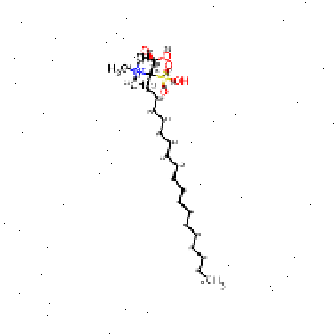 CCCCCCCCCCCCCCCCCCC(C(=O)[O-])([N+](C)(C)C)S(=O)(=O)O